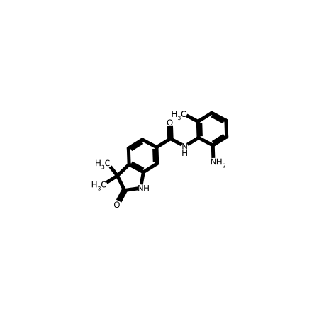 Cc1cccc(N)c1NC(=O)c1ccc2c(c1)NC(=O)C2(C)C